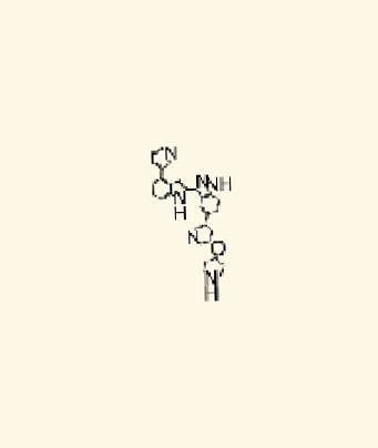 c1cncc(-c2cccc3[nH]c(-c4n[nH]c5ccc(-c6cncc(OC7CCNCC7)c6)cc45)cc23)c1